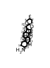 C[C@H]1CC[C@@]2(OC1)OC1C[C@H]3[C@@H]4CC[C@@H]5C[C@H](N)CC[C@]5(C)[C@H]4CC[C@]3(C)[C@H]1[C@@H]2C